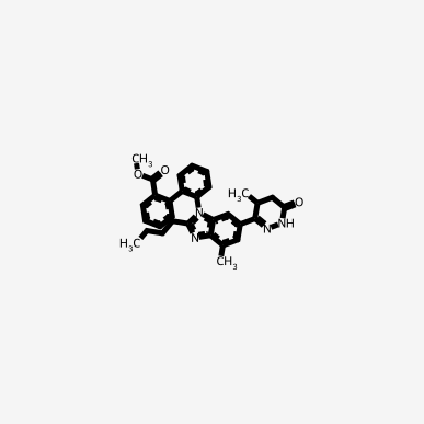 CCCCc1nc2c(C)cc(C3=NNC(=O)CC3C)cc2n1-c1ccccc1-c1ccccc1C(=O)OC